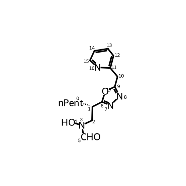 CCCCC[C@@H](CN(O)C=O)c1nnc(Cc2ccccn2)o1